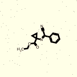 CCOC(=O)C1(N=C(C#N)c2ccccc2)CC1